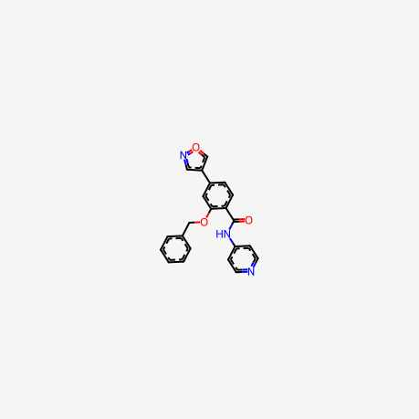 O=C(Nc1ccncc1)c1ccc(-c2cnoc2)cc1OCc1ccccc1